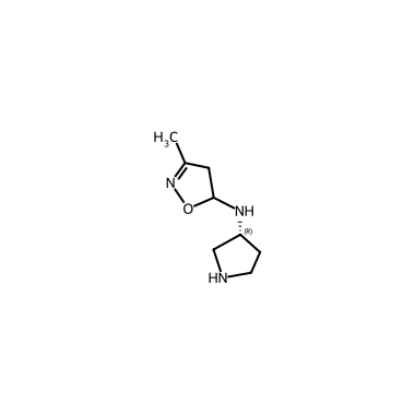 CC1=NOC(N[C@@H]2CCNC2)C1